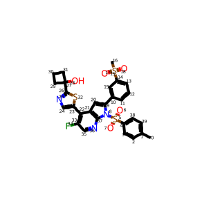 Cc1ccc(S(=O)(=O)n2c(-c3cccc(S(C)(=O)=O)c3)cc3c(-c4cnc(C5(O)CCC5)s4)c(F)cnc32)cc1